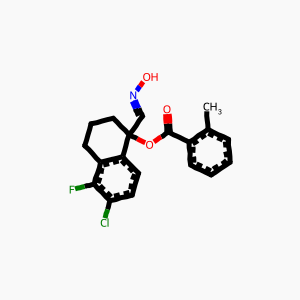 Cc1ccccc1C(=O)OC1(C=NO)CCCc2c1ccc(Cl)c2F